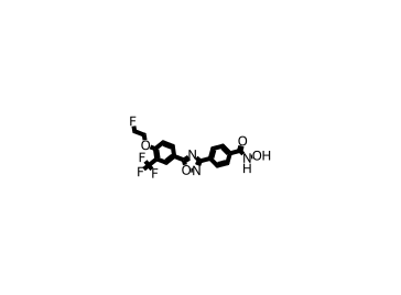 O=C(NO)c1ccc(-c2noc(-c3ccc(OCCF)c(C(F)(F)F)c3)n2)cc1